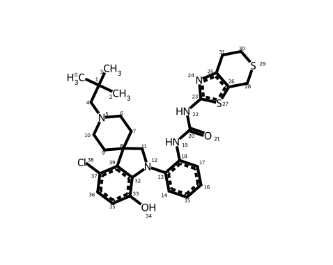 CC(C)(C)CN1CCC2(CC1)CN(c1ccccc1NC(=O)Nc1nc3c(s1)CSCC3)c1c(O)ccc(Cl)c12